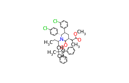 CCC(CO[Si](c1ccccc1)(c1ccccc1)C(C)(C)C)N1C(=O)[C@H](C(C)C(=O)OC)CC(c2cccc(Cl)c2)[C@H]1c1ccc(Cl)cc1